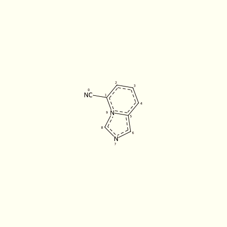 N#Cc1cccc2cncn12